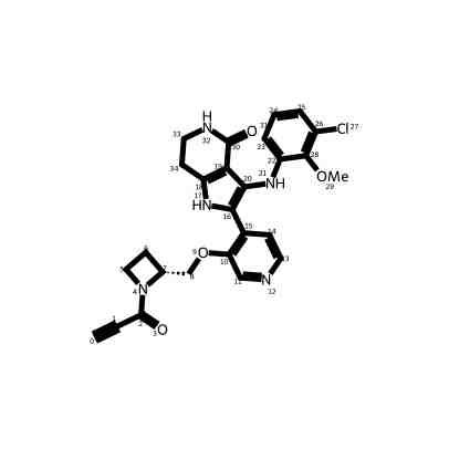 C#CC(=O)N1CC[C@@H]1COc1cnccc1-c1[nH]c2c(c1Nc1cccc(Cl)c1OC)C(=O)NCC2